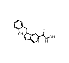 Cc1ccccc1Cn1ccc2cnc(C(=O)NO)cc21